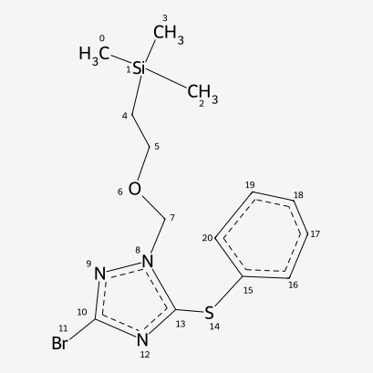 C[Si](C)(C)CCOCn1nc(Br)nc1Sc1ccccc1